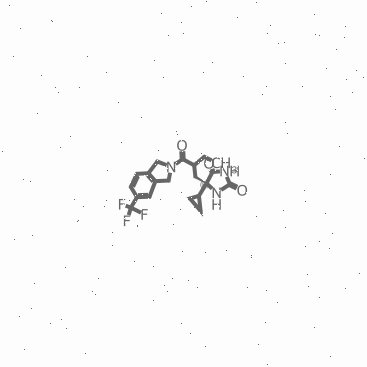 CCC(C[C@]1(C2CC2)NC(=O)NC1=O)C(=O)N1Cc2ccc(C(F)(F)F)cc2C1